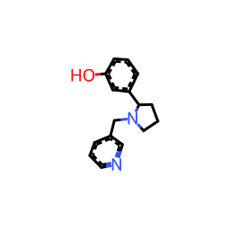 Oc1cccc(C2CCCN2Cc2cccnc2)c1